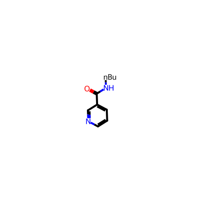 [CH2]CCCNC(=O)c1cccnc1